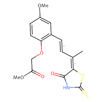 COC(=O)COc1ccc(OC)cc1/C=C/C(C)=C1/SC(=S)NC1=O